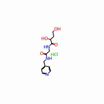 Cl.O=C(CNC(=O)C(O)CCO)NCc1ccncc1